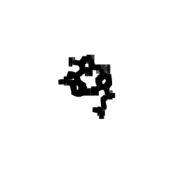 CNc1cc(Nc2ncc(F)c(-c3cn(C)c4ccccc34)n2)ccc1N(C)CCN(C)C